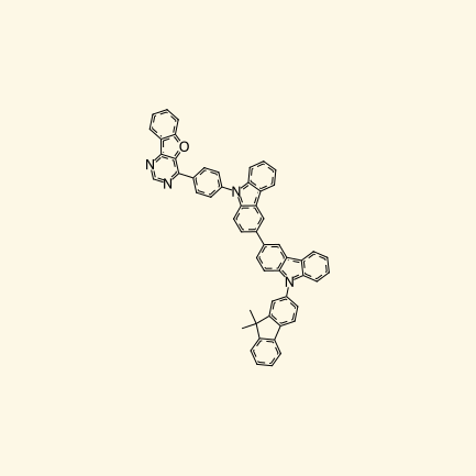 CC1(C)c2ccccc2-c2ccc(-n3c4ccccc4c4cc(-c5ccc6c(c5)c5ccccc5n6-c5ccc(-c6ncnc7c6oc6ccccc67)cc5)ccc43)cc21